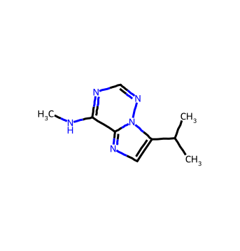 CNc1ncnn2c(C(C)C)cnc12